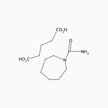 NC(=O)N1CCCCCC1.O=C(O)CCCC(=O)O